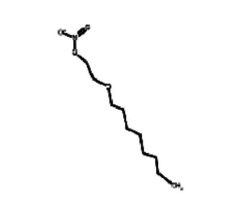 CCCCCCCCOCCO[N+](=O)[O-]